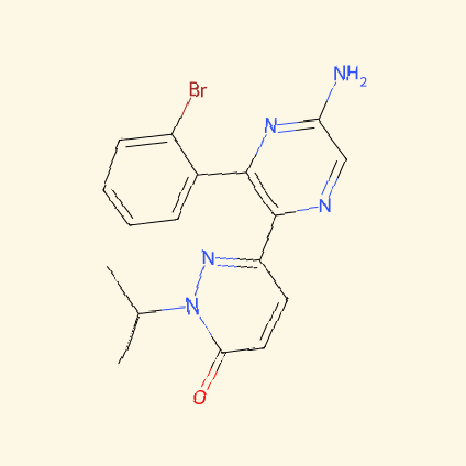 CC(C)n1nc(-c2ncc(N)nc2-c2ccccc2Br)ccc1=O